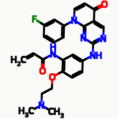 C=CC(=O)Nc1cc(Nc2ncc3c(=O)ccn(-c4cccc(F)c4)c3n2)ccc1OCCN(C)C